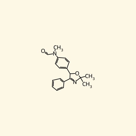 CN(C=O)c1ccc(C2OC(C)(C)N=C2c2ccccc2)cc1